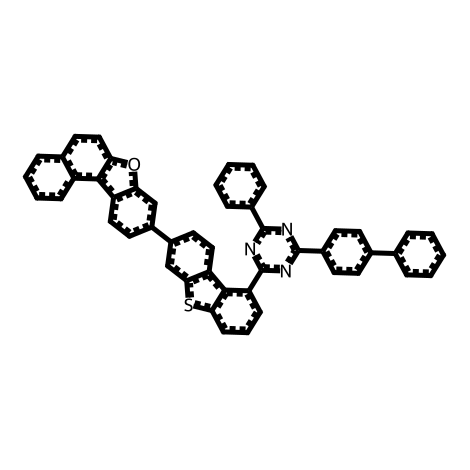 c1ccc(-c2ccc(-c3nc(-c4ccccc4)nc(-c4cccc5sc6cc(-c7ccc8c(c7)oc7ccc9ccccc9c78)ccc6c45)n3)cc2)cc1